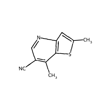 Cc1cc2ncc(C#N)c(C)c2s1